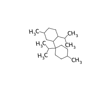 CC1CCC(C(C)C)(C2CC(C)CCC2C(C)C)CC1